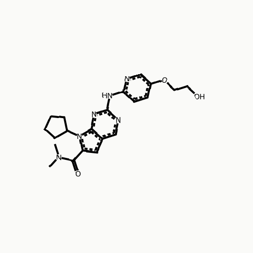 CN(C)C(=O)c1cc2cnc(Nc3ccc(OCCO)cn3)nc2n1C1CCCC1